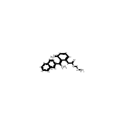 CC(=C1C(CC(=O)OCON)=CC=CC1C)c1ccc2ccccc2c1